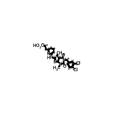 Cn1c(Nc2cccc(CCC(=O)O)n2)nc2c1c(=O)n(Cc1ccc(Cl)c(Cl)c1)c(=O)n2C